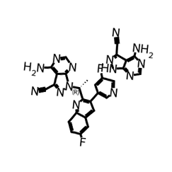 C[C@H](c1nc2ccc(F)cc2cc1-c1cncc(F)c1)n1nc(C#N)c2c(N)ncnc21.N#Cc1n[nH]c2ncnc(N)c12